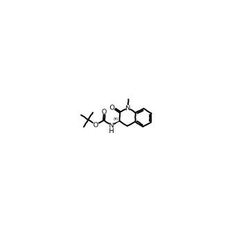 CN1C(=O)[C@H](NC(=O)OC(C)(C)C)Cc2ccccc21